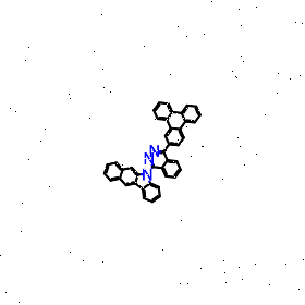 c1ccc2cc3c(cc2c1)c1ccccc1n3-c1nnc(-c2ccc3c4ccccc4c4ccccc4c3c2)c2ccccc12